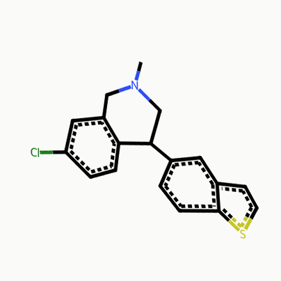 CN1Cc2cc(Cl)ccc2C(c2ccc3sccc3c2)C1